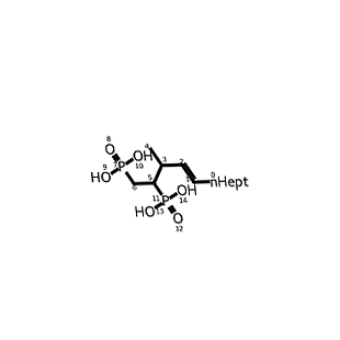 CCCCCCC/C=C/C(C)C(CP(=O)(O)O)P(=O)(O)O